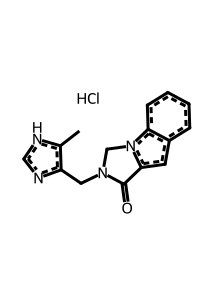 Cc1[nH]cnc1CN1Cn2c(cc3ccccc32)C1=O.Cl